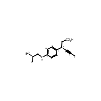 CC#C[C@H](CC(=O)O)c1ccc(OC[C@@H](C)C(C)C)cc1